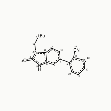 CC(C)(C)Cn1c(=O)[nH]c2cc(-c3cccnc3C#N)ccc21